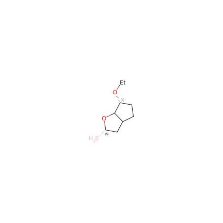 B[C@H]1CC2CC[C@@H](OCC)C2O1